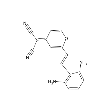 N#CC(C#N)=C1C=COC(C=Cc2c(N)cccc2N)=C1